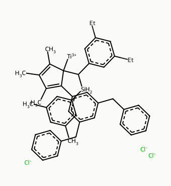 CCc1cc(CC)cc(C([SiH2]c2cc(C)cc(C)c2)[C]2([Ti+3])C(C)=C(C)C(C)=C2c2cc(Cc3ccccc3)cc(Cc3ccccc3)c2)c1.[Cl-].[Cl-].[Cl-]